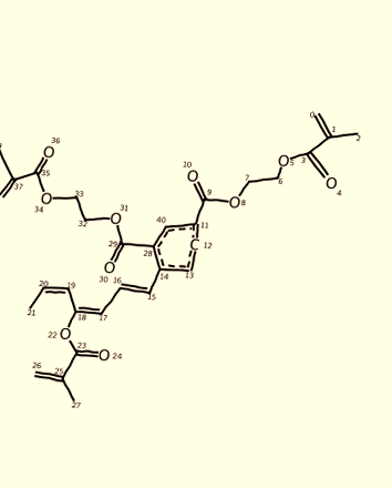 C=C(C)C(=O)OCCOC(=O)c1ccc(/C=C/C=C(\C=C/C)OC(=O)C(=C)C)c(C(=O)OCCOC(=O)C(=C)C)c1